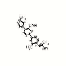 COc1nc(-c2cc(C)c(NC(C)C(C)C)nn2)ccc1-n1cnc(C)c1